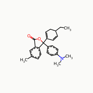 CCC1C=CC(C2(c3ccc(N(C)C)cc3)OC(=O)c3cc(C)ccc32)=CC1